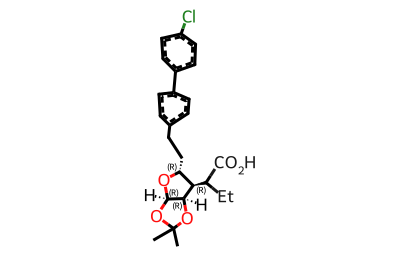 CCC(C(=O)O)[C@H]1[C@H]2OC(C)(C)O[C@H]2O[C@@H]1CCc1ccc(-c2ccc(Cl)cc2)cc1